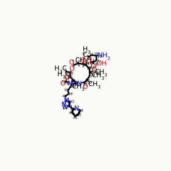 CC[C@H]1OC(=O)[C@H](C)C(=O)[C@@H](C)[C@@H](O[C@@H]2OC(C)CC(N)C2O)[C@](C)(OC)C[C@@H](C)C(=O)N[C@H](C)[C@H]2N(CCCCn3cc(-c4ccccn4)nn3)C(=O)O[C@]12C